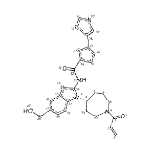 C=CC(=O)N1CCC[C@@H](n2c(NC(=O)c3ccc(-c4cnco4)s3)nc3cc(CO)ccc32)CC1